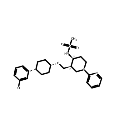 CS(=O)(=O)N[C@H]1CCN(c2ccccn2)C[C@H]1CO[C@H]1CC[C@@H](c2cccc(Cl)c2)CC1